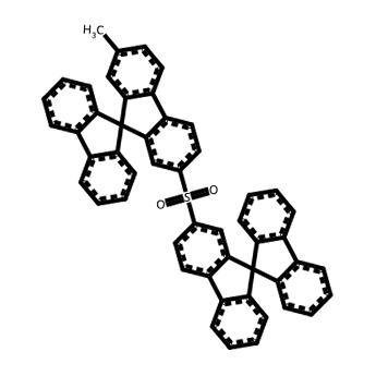 Cc1ccc2c(c1)C1(c3ccccc3-c3ccccc31)c1cc(S(=O)(=O)c3ccc4c(c3)C3(c5ccccc5-c5ccccc53)c3ccccc3-4)ccc1-2